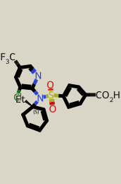 CC[C@@]1(N(c2ncc(C(F)(F)F)cc2Cl)S(=O)(=O)c2ccc(C(=O)O)cc2)C=CC=CC1